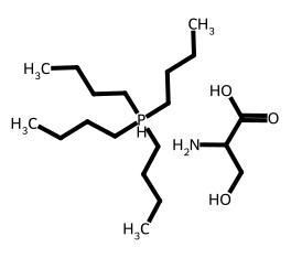 CCCC[PH](CCCC)(CCCC)CCCC.NC(CO)C(=O)O